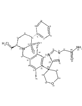 C=C[C@H]1CC[C@H](c2ccccc2)S(=O)(=O)N1Cc1cc(F)c(C2(c3ncn(CC(N)=O)n3)CCOCC2)cc1F